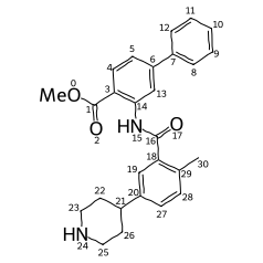 COC(=O)c1ccc(-c2ccccc2)cc1NC(=O)c1cc(C2CCNCC2)ccc1C